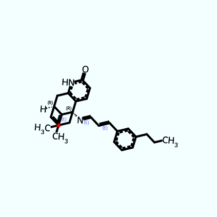 C/C=C1\[C@H]2C=C(C)C[C@]1(/N=C/C=C/c1cccc(CCC)c1)c1ccc(=O)[nH]c1C2